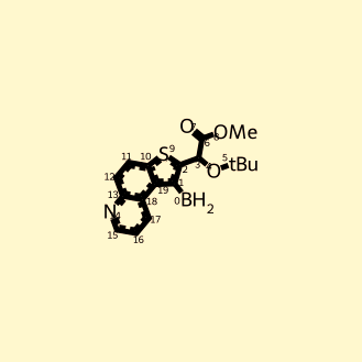 Bc1c(C(OC(C)(C)C)C(=O)OC)sc2ccc3ncccc3c12